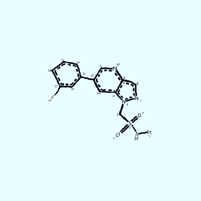 CCNS(=O)(=O)Cn1ncc2ncc(-c3cccc(F)c3)cc21